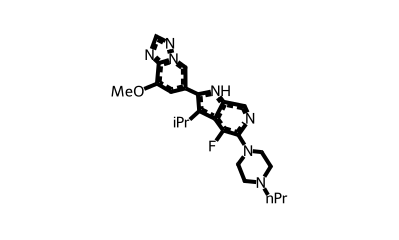 CCCN1CCN(c2ncc3[nH]c(-c4cc(OC)c5ncnn5c4)c(C(C)C)c3c2F)CC1